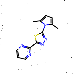 Cc1ccc(C)n1-c1nnc(-c2ncccn2)s1